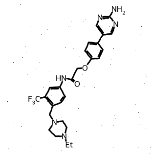 CCN1CCN(Cc2ccc(NC(=O)COc3ccc(-c4cnc(N)nc4)cc3)cc2C(F)(F)F)CC1